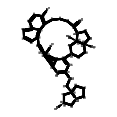 O=C1CCCc2c(F)ccc3cccc(c23)-c2ncc3c(nc(OC[C@@]45CCCN4C[C@H](F)C5)nc3c2F)N2CC[C@@H]3CCN1[C@@H]3C2